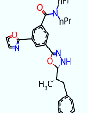 CCCN(CCC)C(=O)c1cc(C2=NN[C@H]([C@@H](C)Cc3ccccc3)O2)cc(-c2ncco2)c1